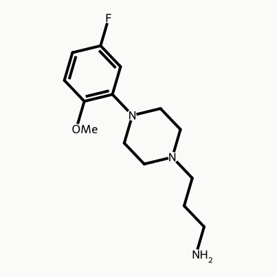 COc1ccc(F)cc1N1CCN(CCCN)CC1